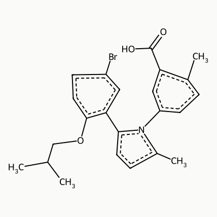 Cc1ccc(-n2c(C)ccc2-c2cc(Br)ccc2OCC(C)C)cc1C(=O)O